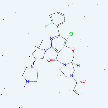 C=CC(=O)N1CCN2C(=O)c3c(N4C[C@@H](N5CCN(C)CC5)CC4(C)C)nc(-c4ccccc4F)c(Cl)c3OC[C@H]2C1